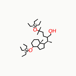 CC[Si](CC)(CC)O[C@H]1CCC[C@]2(C)C([C@H](C)C(CO)CCC(C)(C)O[Si](CC)(CC)CC)CCC12